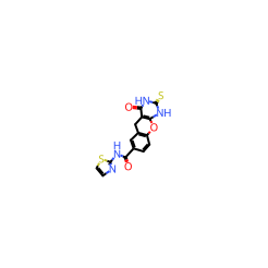 O=C(Nc1nccs1)c1ccc2c(c1)Cc1c([nH]c(=S)[nH]c1=O)O2